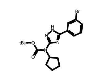 CC(C)(C)OC(=O)N(c1n[nH]c(-c2cccc(Br)c2)n1)C1CCCC1